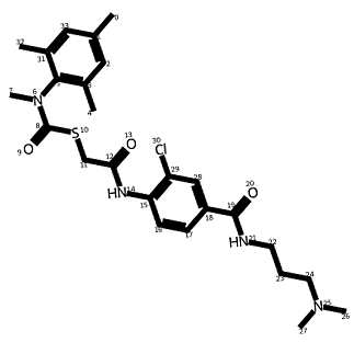 Cc1cc(C)c(N(C)C(=O)SCC(=O)Nc2ccc(C(=O)NCCCN(C)C)cc2Cl)c(C)c1